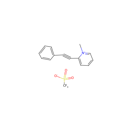 C[n+]1ccccc1C#Cc1ccccc1.O=S(=O)([O-])C(F)(F)F